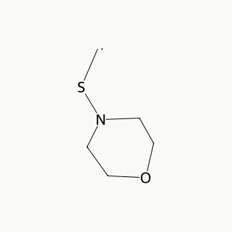 [CH2]SN1CCOCC1